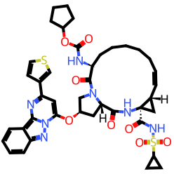 O=C(N[C@H]1CCCCC/C=C\[C@@H]2C[C@@]2(C(=O)NS(=O)(=O)C2CC2)NC(=O)[C@@H]2C[C@@H](Oc3cc(-c4ccsc4)nc4c5ccccc5nn34)CN2C1=O)OC1CCCC1